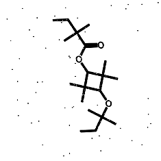 CCC(C)(C)OC1C(C)(C)C(OC(=O)C(C)(C)CC)C1(C)C